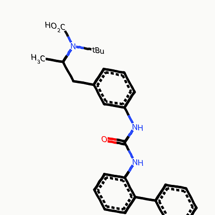 CC(Cc1cccc(NC(=O)Nc2ccccc2-c2ccccc2)c1)N(C(=O)O)C(C)(C)C